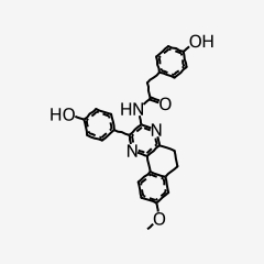 COc1ccc2c(c1)CCc1nc(NC(=O)Cc3ccc(O)cc3)c(-c3ccc(O)cc3)nc1-2